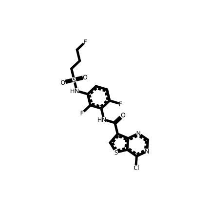 O=C(Nc1c(F)ccc(NS(=O)(=O)CCCF)c1F)c1csc2c(Cl)ncnc12